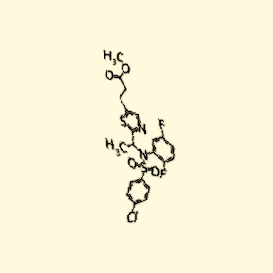 COC(=O)CCc1cnc(C(C)N(c2cc(F)ccc2F)S(=O)(=O)c2ccc(Cl)cc2)s1